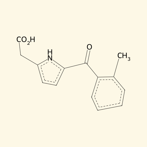 Cc1ccccc1C(=O)c1ccc(CC(=O)O)[nH]1